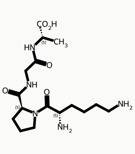 C[C@H](NC(=O)CNC(=O)[C@@H]1CCCN1C(=O)[C@@H](N)CCCCN)C(=O)O